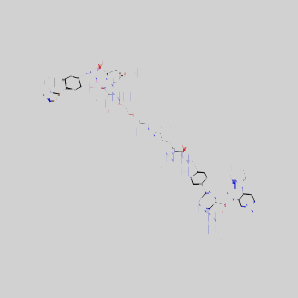 Cc1ncsc1-c1ccc(CNC(=O)[C@@H]2C[C@@H](O)CN2C(=O)C(NC(=O)CCOCCNC(=O)CC[C@H](N)C(=O)NCc2ccc(-c3cnc(N)c(C(=O)Nc4cnccc4N4CCOCC4)n3)cc2)C(C)(C)C)cc1